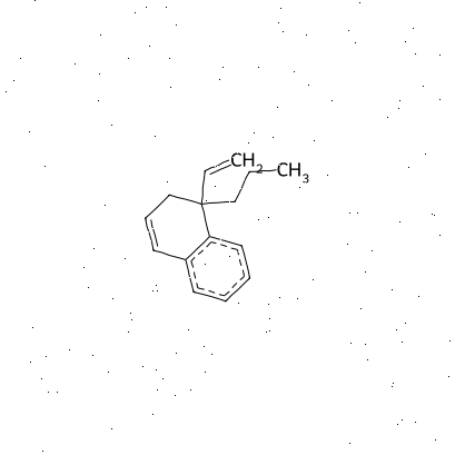 C=CC1(CCC)CC=Cc2ccccc21